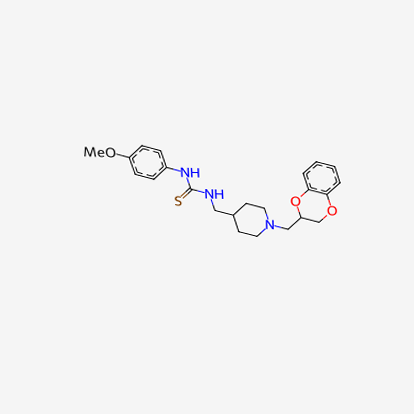 COc1ccc(NC(=S)NCC2CCN(CC3COc4ccccc4O3)CC2)cc1